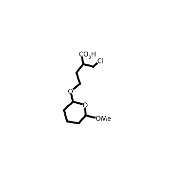 COC1CCCC(OCCC(CCl)C(=O)O)O1